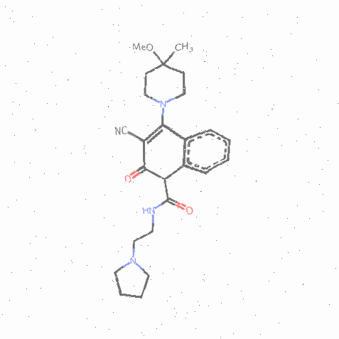 COC1(C)CCN(C2=C(C#N)C(=O)C(C(=O)NCCN3CCCC3)c3ccccc32)CC1